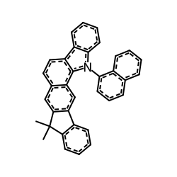 CC1(C)c2ccccc2-c2cc3c(ccc4c5ccccc5n(-c5cccc6ccccc56)c34)cc21